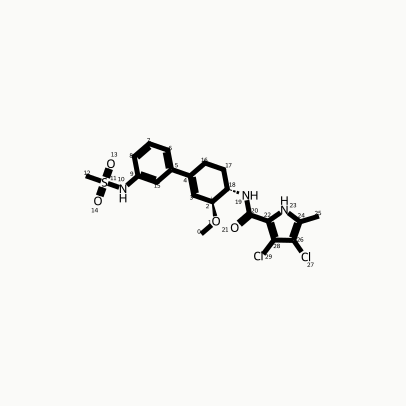 CO[C@H]1C=C(c2cccc(NS(C)(=O)=O)c2)CC[C@@H]1NC(=O)c1[nH]c(C)c(Cl)c1Cl